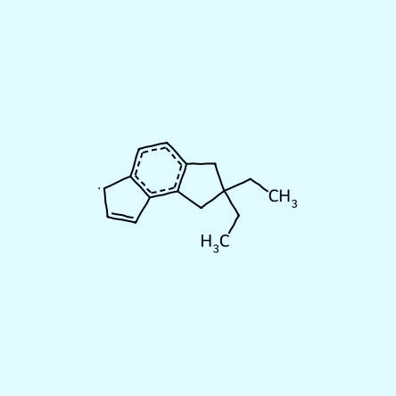 CCC1(CC)Cc2ccc3c(c2C1)C=C[CH]3